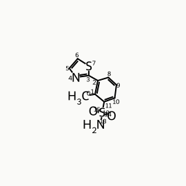 Cc1c(-c2nccs2)cccc1S(N)(=O)=O